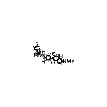 CNc1ccc2c(c1)NC(=O)C(c1ccc(NC(=O)NS(=O)(=O)c3ccc(C)s3)cc1)C2=O